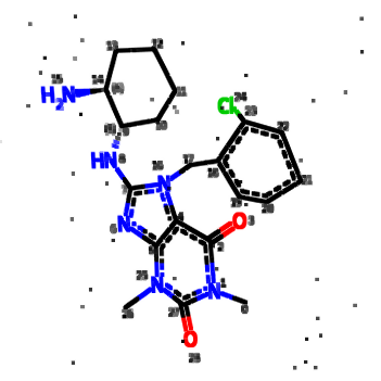 Cn1c(=O)c2c(nc(N[C@H]3CCCC[C@@H]3N)n2Cc2ccccc2Cl)n(C)c1=O